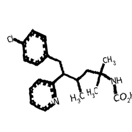 CC(CC(C)(C)NC(=O)O)C(Cc1ccc(Cl)cc1)c1ccccn1